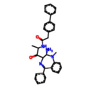 CC(NC(=O)Cc1ccc(-c2ccccc2)cc1)C(=O)C1N=C(c2ccccc2)c2ccccc2N(C)[C@@H]1N